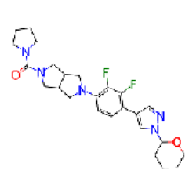 O=C(N1CCCC1)N1CC2CN(c3ccc(-c4cnn(C5CCCCO5)c4)c(F)c3F)CC2C1